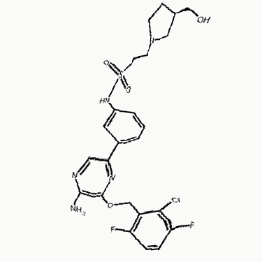 Nc1ncc(-c2cccc(NS(=O)(=O)CCN3CC[C@@H](CO)C3)c2)nc1OCc1c(F)ccc(F)c1Cl